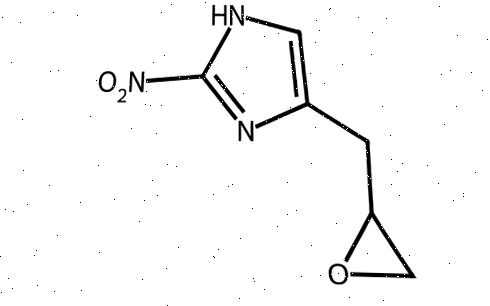 O=[N+]([O-])c1nc(CC2CO2)c[nH]1